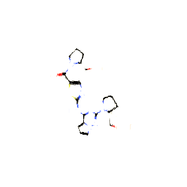 O=C(c1cnc(Nc2nc(N3CCC[C@H]3CO)nn3cccc23)s1)N1CCC[C@H]1CO